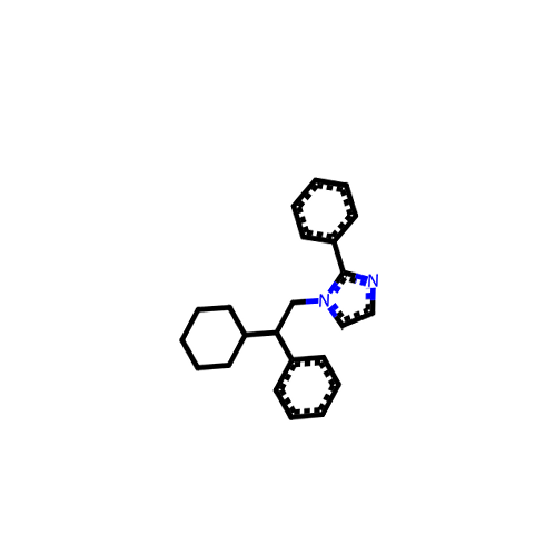 [c]1cnc(-c2ccccc2)n1CC(c1ccccc1)C1CCCCC1